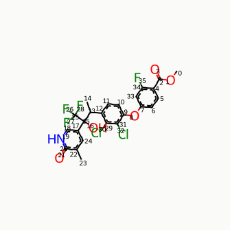 COC(=O)c1ccc(Oc2ccc(C(C)C(O)(c3c[nH]c(=O)c(C)c3)C(F)(F)F)c(Cl)c2Cl)cc1F